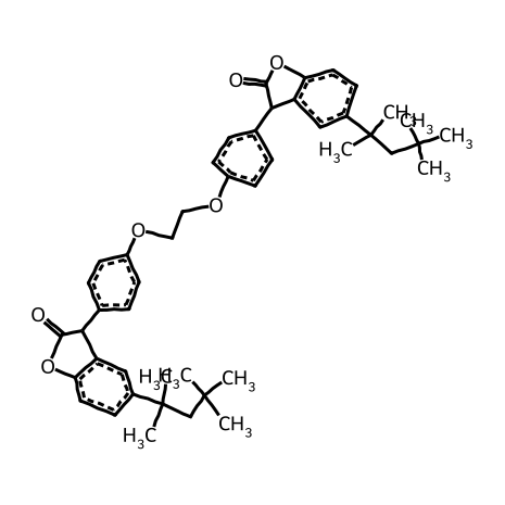 CC(C)(C)CC(C)(C)c1ccc2c(c1)C(c1ccc(OCCOc3ccc(C4C(=O)Oc5ccc(C(C)(C)CC(C)(C)C)cc54)cc3)cc1)C(=O)O2